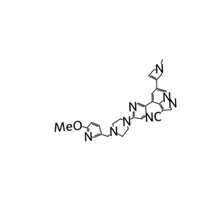 COc1ccc(CN2CCN(c3ccc(-c4cc(C5=CCN(C)C5)cn5ncc(C#N)c45)cn3)CC2)cn1